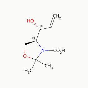 C=C[C@@H](O)[C@@H]1COC(C)(C)N1C(=O)O